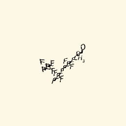 COC=O.F[B-](F)(F)F.F[B-](F)(F)F.F[B-](F)(F)F